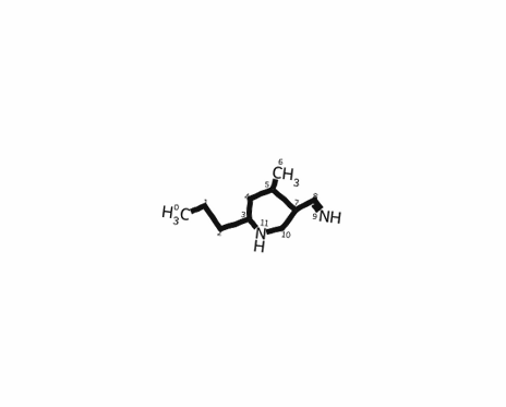 CCCC1CC(C)C(C=N)CN1